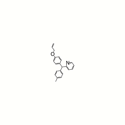 C=CCOc1ccc(C(c2ccc(C)cc2)c2ccccn2)cc1